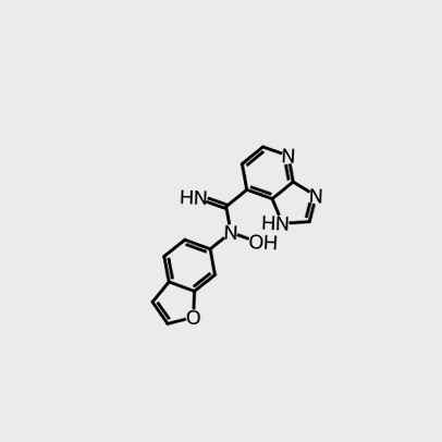 N=C(c1ccnc2nc[nH]c12)N(O)c1ccc2ccoc2c1